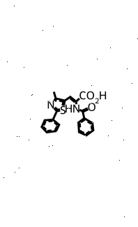 Cc1nc(-c2ccccc2)sc1C=C(NC(=O)c1ccccc1)C(=O)O